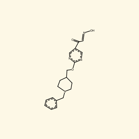 O=C(/C=N/O)c1cnc(OCC2CCN(Cc3ccccc3)CC2)nc1